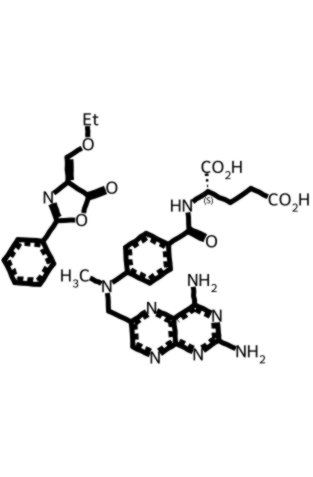 CCOC=C1N=C(c2ccccc2)OC1=O.CN(Cc1cnc2nc(N)nc(N)c2n1)c1ccc(C(=O)N[C@@H](CCC(=O)O)C(=O)O)cc1